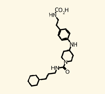 O=C(O)NCCc1ccc(NC2CCN(C(=O)NCCCC3CCCCC3)CC2)cc1